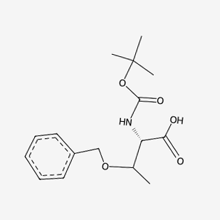 CC(OCc1ccccc1)[C@H](NC(=O)OC(C)(C)C)C(=O)O